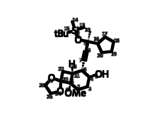 CO[C@@]12CC[C@H](O)[C@@H](C#C[C@@](C)(O[Si](C)(C)C(C)(C)C)C3CCCC3)[C@@H]1CC21OCCO1